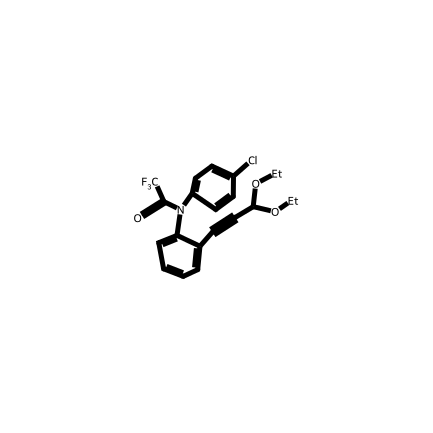 CCOC(C#Cc1ccccc1N(C(=O)C(F)(F)F)c1ccc(Cl)cc1)OCC